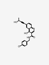 CC(O)C#Cc1ccc2ncc(C(=O)NCc3ccc(Cl)cc3)c(O)c2c1